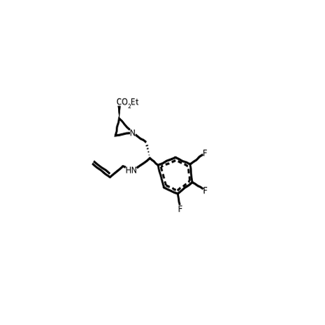 C=CCN[C@H](CN1C[C@H]1C(=O)OCC)c1cc(F)c(F)c(F)c1